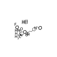 CN(C)Cc1c(CC(=O)Nc2ccc(F)cc2)ccc2c(CCC3CCN(Cc4ccccc4)CC3)noc12.Cl.Cl